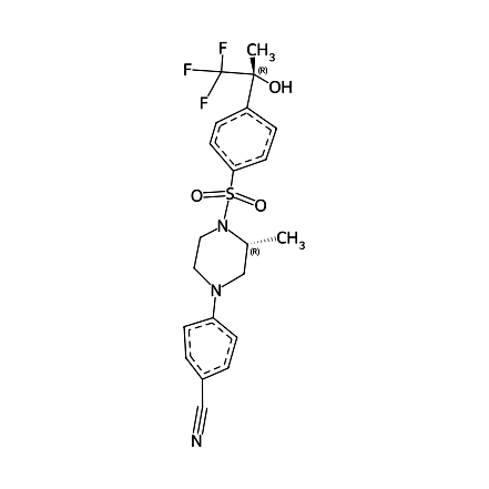 C[C@@H]1CN(c2ccc(C#N)cc2)CCN1S(=O)(=O)c1ccc([C@@](C)(O)C(F)(F)F)cc1